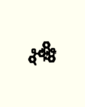 Cc1cccc(C(=O)c2ccc(N(C(=O)c3ccccc3)c3c(F)cccc3F)nc2)c1